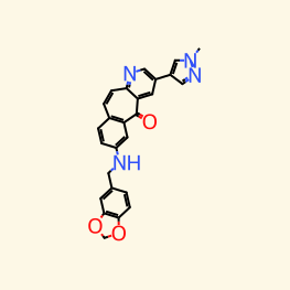 Cn1cc(-c2cnc3ccc4ccc(NCc5ccc6c(c5)OCO6)cc4c(=O)c3c2)cn1